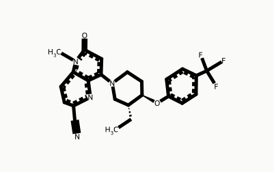 CC[C@@H]1CN(c2cc(=O)n(C)c3ccc(C#N)nc23)CC[C@H]1Oc1ccc(C(F)(F)F)cc1